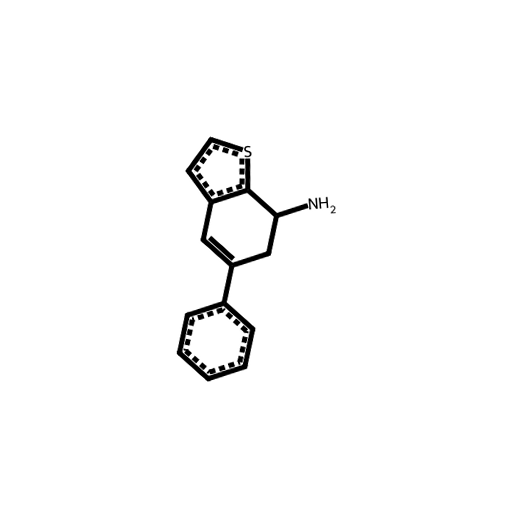 NC1CC(c2ccccc2)=Cc2ccsc21